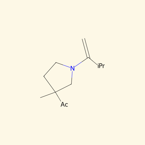 C=C(C(C)C)N1CCC(C)(C(C)=O)C1